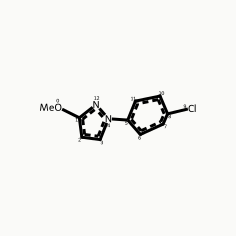 [CH2]Oc1ccn(-c2ccc(Cl)cc2)n1